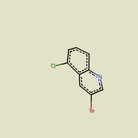 Clc1cccc2ncc(Br)cc12